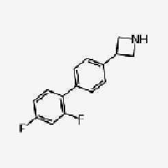 Fc1ccc(-c2ccc(C3CNC3)cc2)c(F)c1